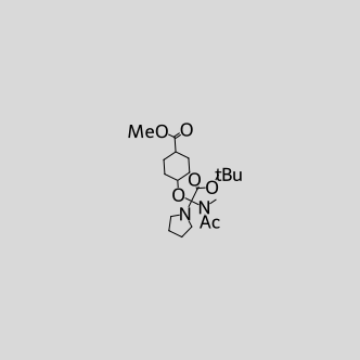 COC(=O)C1CCC(OC(C(=O)OC(C)(C)C)(N2CCCC2)N(C)C(C)=O)CC1